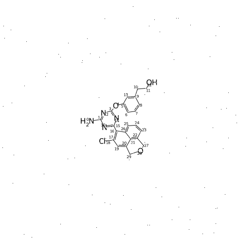 Nc1nc(Oc2cccc(CCO)c2)nc(-c2c(Cl)cc3c4c(cccc24)COC3)n1